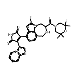 O=C1NC(=O)C(c2cnc3ccccn23)=C1c1ccc2c3c1cc(F)n3CC(C(=O)N1CC(F)(F)OC(F)(F)C1)NC2